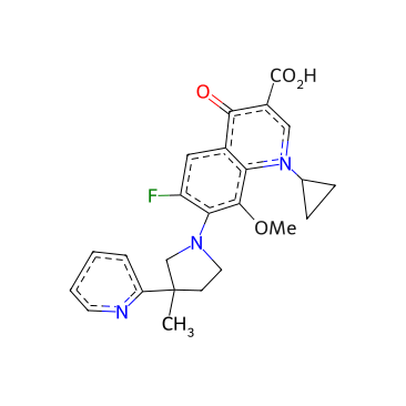 COc1c(N2CCC(C)(c3ccccn3)C2)c(F)cc2c(=O)c(C(=O)O)cn(C3CC3)c12